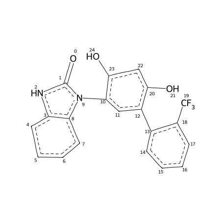 O=c1[nH]c2ccccc2n1-c1cc(-c2ccccc2C(F)(F)F)c(O)cc1O